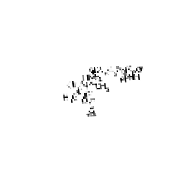 Cc1c(Cl)cc([C@@H](C)NS(=O)(=O)CCCCCN2CC(=O)NC2=O)cc1OCC1CC1